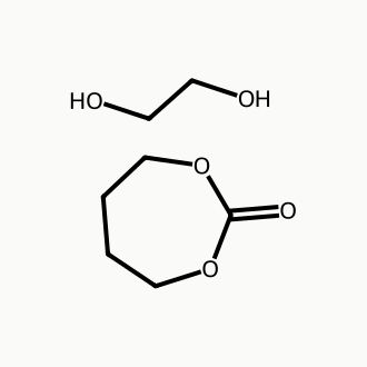 O=C1OCCCCO1.OCCO